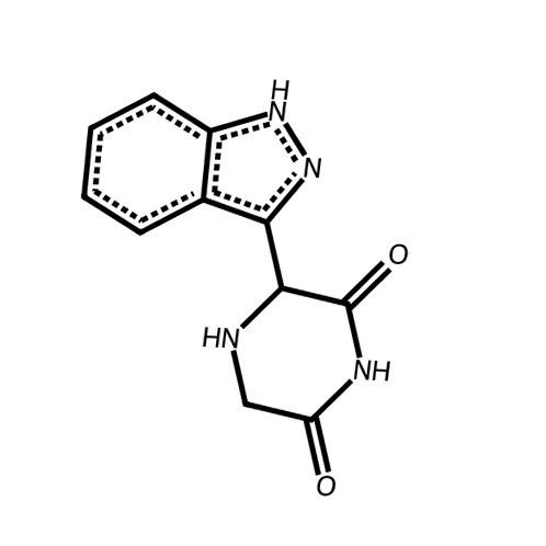 O=C1CNC(c2n[nH]c3ccccc23)C(=O)N1